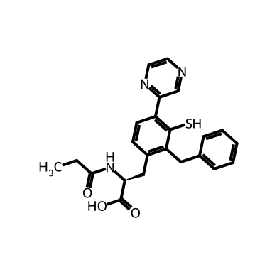 CCC(=O)N[C@@H](Cc1ccc(-c2cnccn2)c(S)c1Cc1ccccc1)C(=O)O